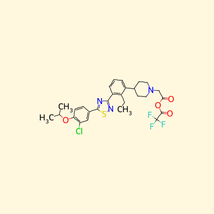 CCc1c(-c2nsc(-c3ccc(OC(C)C)c(Cl)c3)n2)cccc1C1CCN(CC(=O)OC(=O)C(F)(F)F)CC1